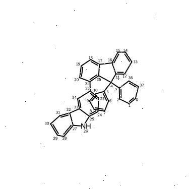 c1ccc(C2(c3ccccc3)c3ccccc3-c3cccc(-c4ccc5[nH]c6ccccc6c5c4)c32)cc1